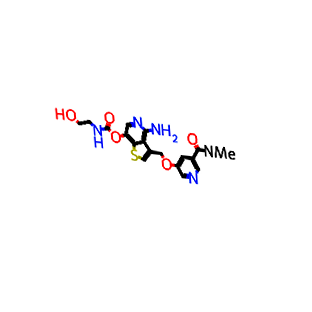 CNC(=O)c1cncc(OCc2csc3c(OC(=O)NCCO)cnc(N)c23)c1